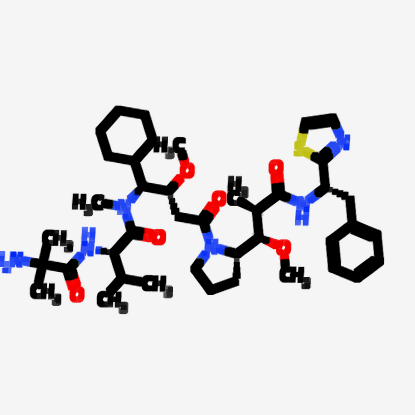 CO[C@H]([C@@H](C)C(=O)N[C@@H](Cc1ccccc1)c1nccs1)[C@@H]1CCCN1C(=O)C[C@@H](OC)[C@H](C1CCCCC1)N(C)C(=O)[C@@H](NC(=O)C(C)(C)N)C(C)C